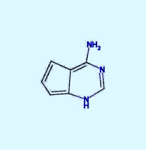 Nc1nc[nH]c2cccc1-2